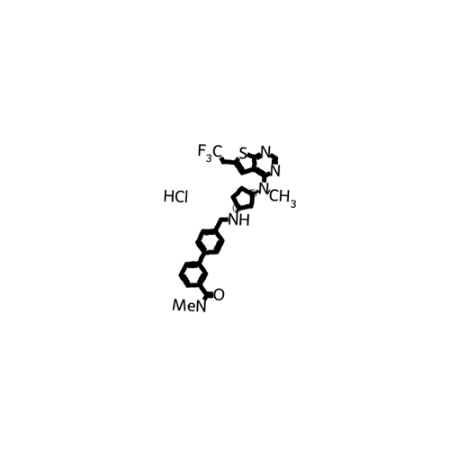 CNC(=O)c1cccc(-c2ccc(CN[C@H]3CC[C@@H](N(C)c4ncnc5sc(CC(F)(F)F)cc45)C3)cc2)c1.Cl